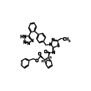 CCc1nn(Cc2ccc(-c3ccccc3-c3nnn[nH]3)cc2)c(=NC(=O)[C@H]2C3C=CC(C3)[C@H]2C(=O)OCc2ccccc2)s1